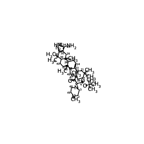 CN1CCN(C(C(=O)OC(C)(C)C)C(=O)[C@]23CCC(C)(C)CC2C2=CCC4[C@@]5(C)Cc6c(n[nH]c6N)C(C)(C)C5CC[C@@]4(C)[C@]2(C)CC3)CC1